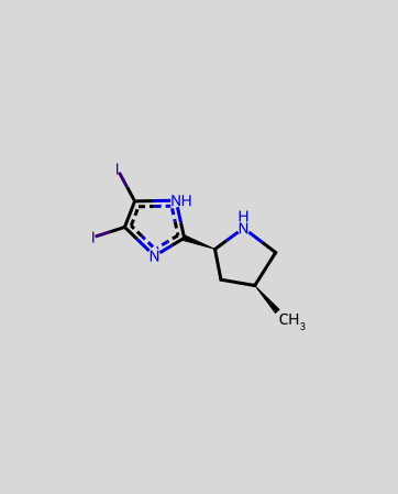 C[C@@H]1CN[C@H](c2nc(I)c(I)[nH]2)C1